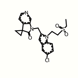 CCS(=O)(=O)CCn1c(CN2C(=O)C3(CC3)c3ccncc32)cc2cc(Cl)ccc21